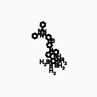 Bc1c(B)c(B)c(-c2cccc3c2c2ccccc2n3-c2ccc3c(c2)oc2ccc(-c4nc(-c5ccccc5)nc(-c5ccccc5)n4)cc23)c(B)c1B